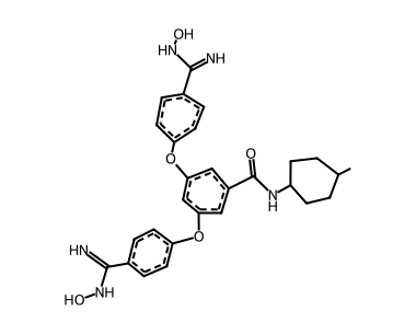 CC1CCC(NC(=O)c2cc(Oc3ccc(C(=N)NO)cc3)cc(Oc3ccc(C(=N)NO)cc3)c2)CC1